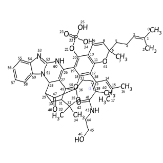 CC(C)=CCCC1(C)C=Cc2c(c(CC=C(C)C)c3c(c2OP(=O)(O)O)C2=C4C(C5CC6C(C)(C)OC(C/C=C(/C)C(=O)NCCO)(C5=O)C46O3)n3c(nc4ccccc43)N2)O1